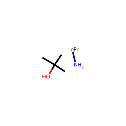 CC(C)(C)O.CCCN